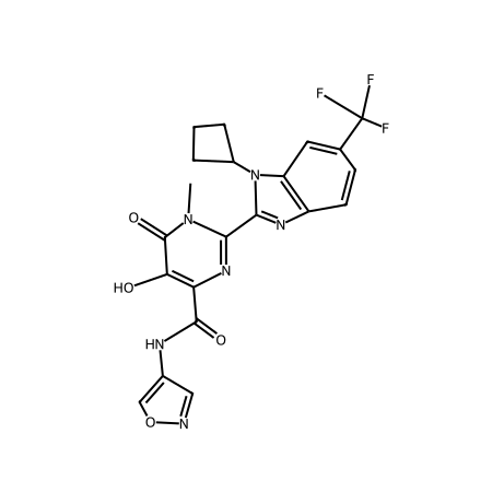 Cn1c(-c2nc3ccc(C(F)(F)F)cc3n2C2CCC2)nc(C(=O)Nc2cnoc2)c(O)c1=O